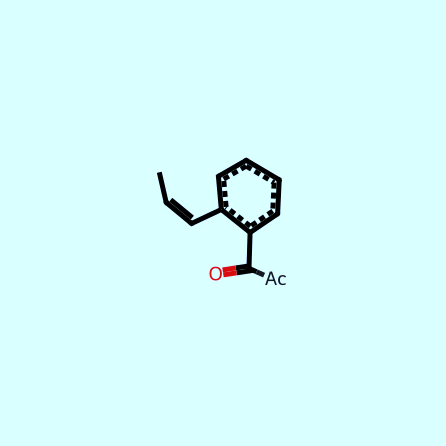 C/C=C\c1ccccc1C(=O)C(C)=O